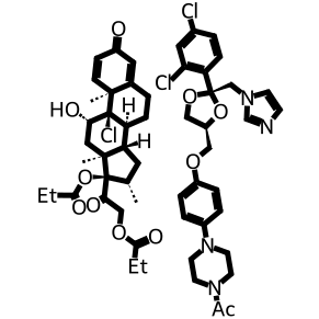 CC(=O)N1CCN(c2ccc(OC[C@H]3CO[C@](Cn4ccnc4)(c4ccc(Cl)cc4Cl)O3)cc2)CC1.CCC(=O)OCC(=O)[C@@]1(OC(=O)CC)[C@@H](C)C[C@H]2[C@@H]3CCC4=CC(=O)C=C[C@]4(C)[C@@]3(Cl)[C@@H](O)C[C@@]21C